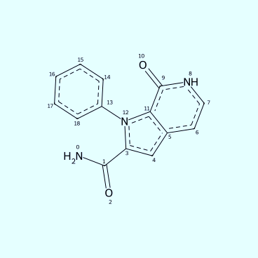 NC(=O)c1cc2cc[nH]c(=O)c2n1-c1ccccc1